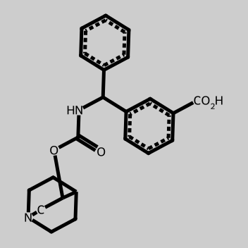 O=C(NC(c1ccccc1)c1cccc(C(=O)O)c1)OC1CN2CCC1CC2